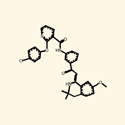 COc1ccc2c(c1)/C(=C/C(=O)c1cccc(NC(=O)c3cccnc3Oc3ccc(Cl)cc3)c1)NC(C)(C)C2